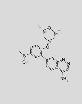 CB(O)c1ccc(O[C@@H]2C[C@@H](C)O[C@@H](C)C2)c(-c2ccc3c(N)cnnc3c2)c1